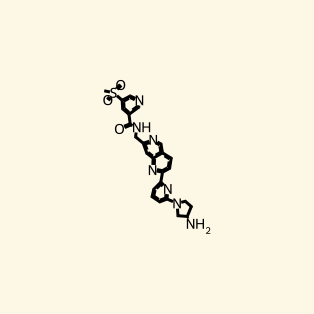 CS(=O)(=O)c1cncc(C(=O)NCc2cc3nc(-c4cccc(N5CC[C@@H](N)C5)n4)ccc3cn2)c1